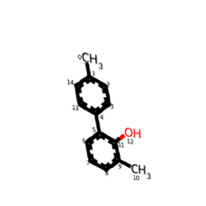 Cc1ccc(-c2cccc(C)c2O)cc1